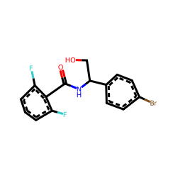 O=C(NC(CO)c1ccc(Br)cc1)c1c(F)cccc1F